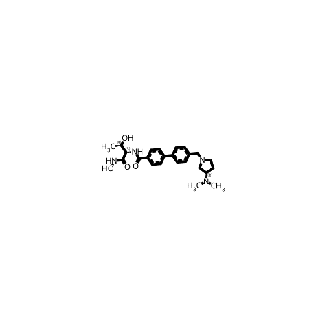 C[C@@H](O)[C@H](NC(=O)c1ccc(-c2ccc(CN3CC[C@@H](N(C)C)C3)cc2)cc1)C(=O)NO